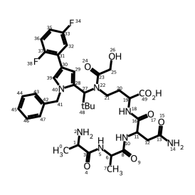 CC(N)C(=O)NC(C)C(=O)NC(CC(N)=O)C(=O)NC(CCN(C(=O)CO)C(c1cc(-c2cc(F)ccc2F)cn1Cc1ccccc1)C(C)(C)C)C(=O)O